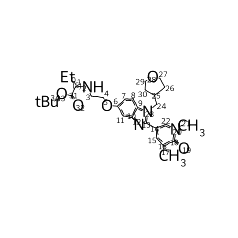 CC[C@H](NCCOc1ccc2c(c1)nc(-c1cc(C)c(=O)n(C)c1)n2CC1CCOCC1)C(=O)OC(C)(C)C